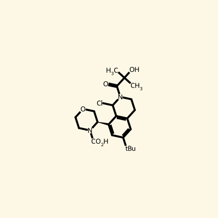 CC(C)(O)C(=O)N1CCc2cc(C(C)(C)C)cc([C@@H]3COCCN3C(=O)O)c2C1Cl